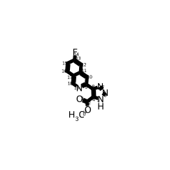 COC(=O)c1[nH]nnc1-c1cc2cc(F)ccc2cn1